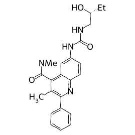 CC[C@@H](O)CNC(=O)Nc1ccc2nc(-c3ccccc3)c(C)c(C(=O)NC)c2c1